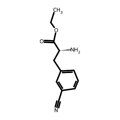 CCOC(=O)[C@H](N)Cc1cccc(C#N)c1